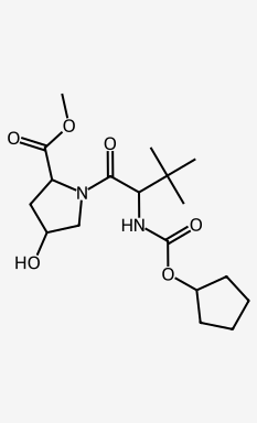 COC(=O)C1CC(O)CN1C(=O)C(NC(=O)OC1CCCC1)C(C)(C)C